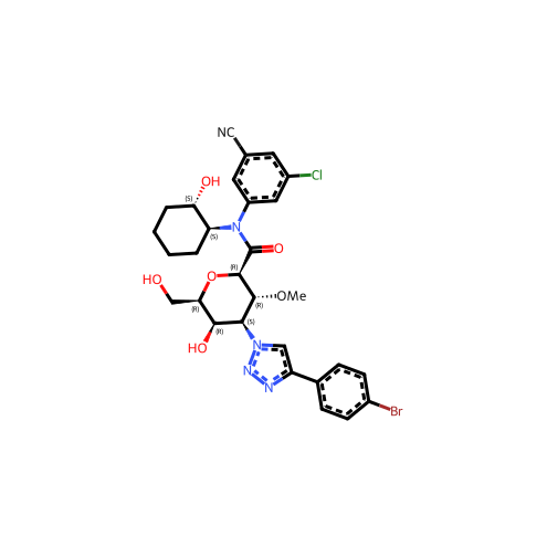 CO[C@@H]1[C@@H](n2cc(-c3ccc(Br)cc3)nn2)[C@@H](O)[C@@H](CO)O[C@H]1C(=O)N(c1cc(Cl)cc(C#N)c1)[C@H]1CCCC[C@@H]1O